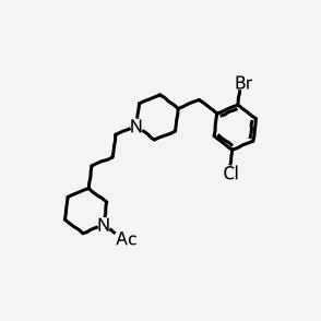 CC(=O)N1CCCC(CCCN2CCC(Cc3cc(Cl)ccc3Br)CC2)C1